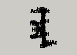 CCCCC/C=C\C/C=C\CCCCCCCCC(O)(CCCCCCCC/C=C\C/C=C\CCCCC)OCCCN(CCCCCC(=O)NCCOCCOCCO[C@@H]1O[C@H](CC)[C@H](C)C(O)C1NC(C)=O)CCCCCC(=O)NCCOCCOCCO[C@@H]1O[C@H](CC)[C@H](C)C(O)C1NC(C)=O